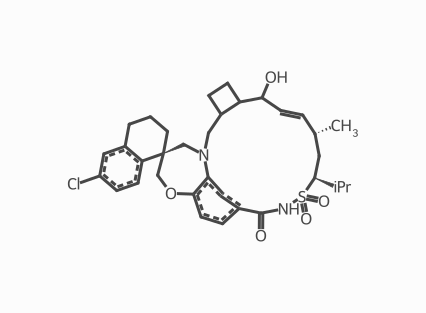 CC(C)[C@@H]1C[C@@H](C)/C=C/C(O)C2CCC2CN2C[C@@]3(CCCc4cc(Cl)ccc43)COc3ccc(cc32)C(=O)NS1(=O)=O